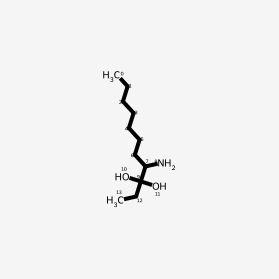 CCCCCCCC(N)C(O)(O)CC